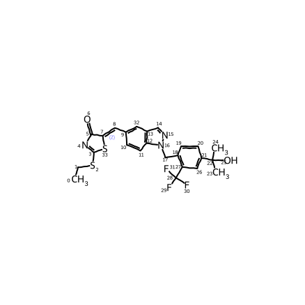 CCSC1=NC(=O)/C(=C/c2ccc3c(cnn3Cc3ccc(C(C)(C)O)cc3C(F)(F)F)c2)S1